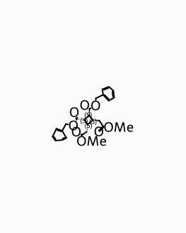 COC(=O)C[C@H]1[C@H](CC(=O)OC)[C@H](C(=O)OCc2ccccc2)[C@H]1C(=O)OCc1ccccc1